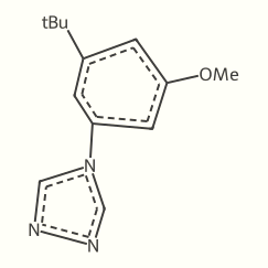 COc1cc(-n2cnnc2)cc(C(C)(C)C)c1